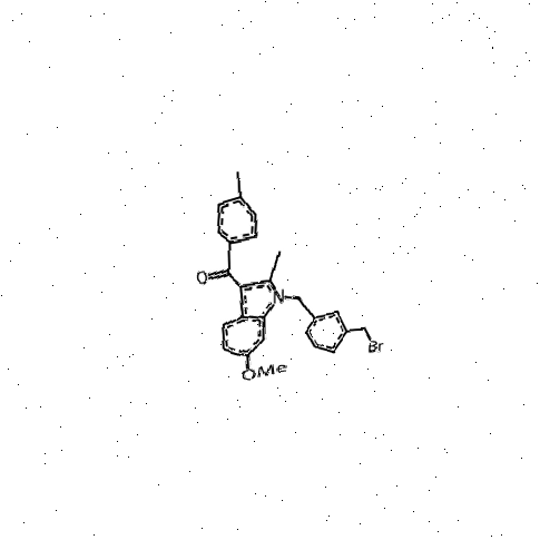 COc1ccc2c(C(=O)c3ccc(C)cc3)c(C)n(Cc3cccc(CBr)c3)c2c1